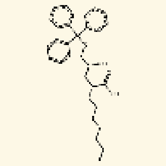 CCCCCCC[C@H](C[C@H](O)CSC(c1ccccc1)(c1ccccc1)c1ccccc1)C(=O)O